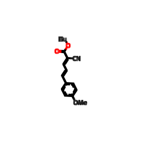 CCC(C)OC(=O)/C(C#N)=C/C=C/c1ccc(OC)cc1